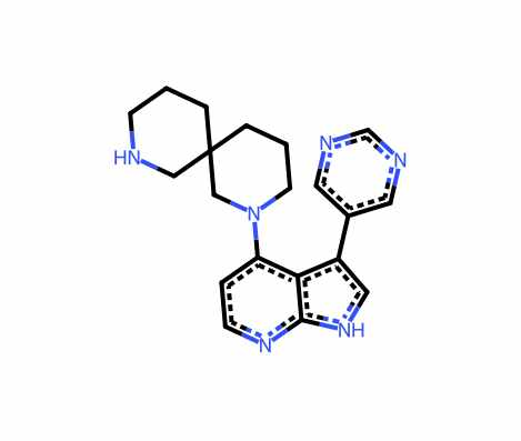 c1ncc(-c2c[nH]c3nccc(N4CCCC5(CCCNC5)C4)c23)cn1